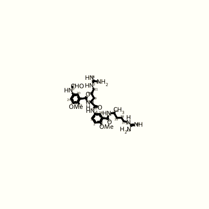 COc1ccc(NC(=O)C(CCCNC(=N)N)NC(=O)c2cc(NC=O)ccc2OC)cc1C(=O)NC(C)CCCNC(=N)N